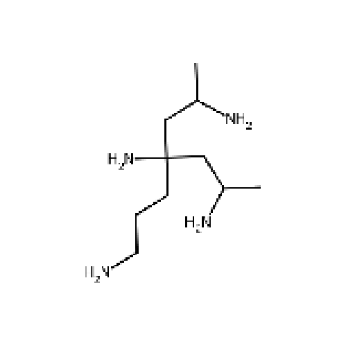 CC(N)CC(N)(CCCN)CC(C)N